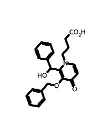 O=C(O)CCCn1ccc(=O)c(OCc2ccccc2)c1C(O)c1ccccc1